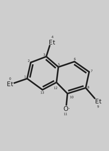 CCc1cc(CC)c2ccc(CC)c([O])c2c1